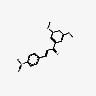 COC1=CC(C(=O)/C=C/c2ccc([N+](=O)[O-])cc2)=CC(OC)C1